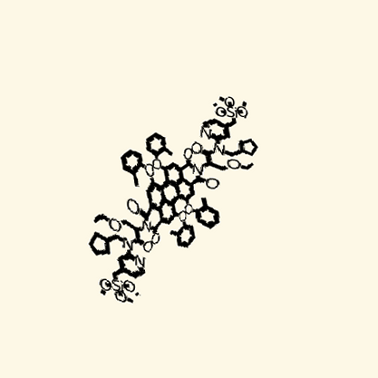 CCOCC(C(=O)N(CC1CCCC1)c1cc(C[Si](OC)(OC)OC)ccn1)N1C(=O)c2cc(Oc3ccccc3C)c3c4c(Oc5ccccc5C)cc5c6c(cc(Oc7ccccc7C)c(c7c(Oc8ccccc8C)cc(c2c37)C1=O)c64)C(=O)N(C(COCC)C(=O)N(CC1CCCC1)c1cc(C[Si](OC)(OC)OC)ccn1)C5=O